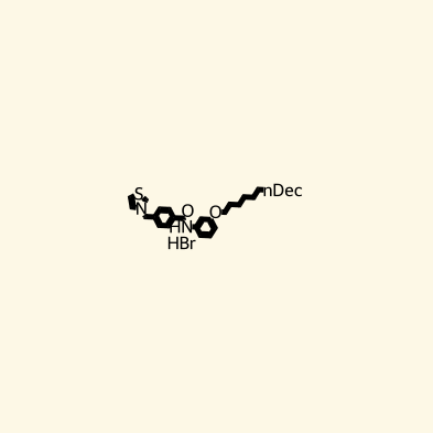 Br.CCCCCCCCCCCCCCCCOc1cccc(NC(=O)c2ccc(CN3C=CSC3)cc2)c1